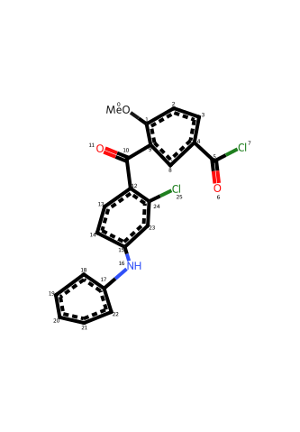 COc1ccc(C(=O)Cl)cc1C(=O)c1ccc(Nc2ccccc2)cc1Cl